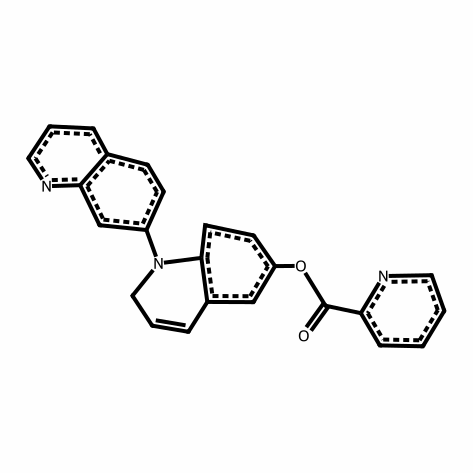 O=C(Oc1ccc2c(c1)C=CCN2c1ccc2cccnc2c1)c1ccccn1